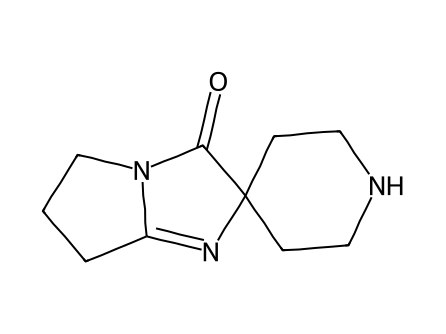 O=C1N2CCCC2=NC12CCNCC2